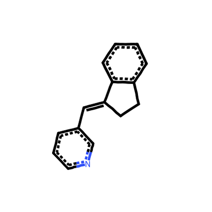 C(=C1CCc2ccccc21)c1cccnc1